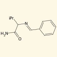 CC(C)C(N=Cc1ccccc1)C(N)=O